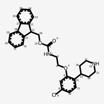 O=C(NCCOc1cc(Cl)ccc1C1CCNCC1)OCC1c2ccccc2-c2ccccc21